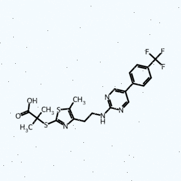 Cc1sc(SC(C)(C)C(=O)O)nc1CCNc1ncc(-c2ccc(C(F)(F)F)cc2)cn1